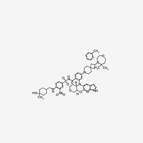 Cc1ccccc1[C@@H]1COCCC(C)(C)N1C1CC2(CCN(c3ccc(C(=O)NS(=O)(=O)c4ccc(NCC5CCC(C)(O)CC5)c([N+](=O)[O-])c4)c(N4c5cc6cc[nH]c6nc5O[C@H]5COCC[C@@H]54)c3)CC2)C1